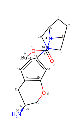 CC(C)(C)OC(=O)N1C2CCC1CN(c1ccc3c(c1)OC[C@@H](N)C3)C2